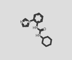 O=C(Nc1ccccc1-n1ccnc1)NC1CCCCC1